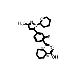 Cc1cc(-c2ccc(C(=O)[C@H]3CCCC[C@@H]3C(=O)O)c(F)c2)n(C2CCCCO2)n1